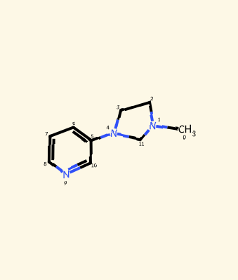 CN1CCN(c2cccnc2)C1